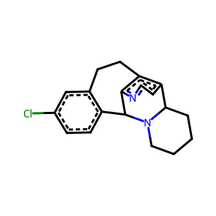 Clc1ccc2c(c1)CCc1c3ccnc1C2N1CCCCC31